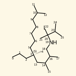 CCC[C@@](C)(CCCCCC(C)C)CC(C)C(C)CNC(C)(I)C(C)C